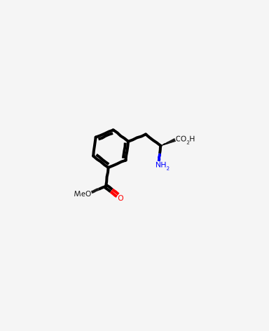 COC(=O)c1cccc(C[C@H](N)C(=O)O)c1